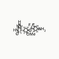 COc1cc(C2CC(=O)Nc3n[nH]cc32)ccc1OCc1ccc(N)cc1C(F)(F)F